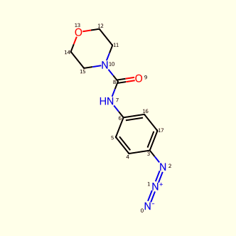 [N-]=[N+]=Nc1ccc(NC(=O)N2CCOCC2)cc1